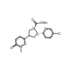 COC(=O)[C@@H]1CN(c2ccc(=O)n(C)n2)C[C@H]1c1ccc(Cl)cn1